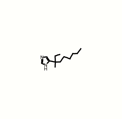 CCCCCCC(C)(CC)c1cnc[nH]1